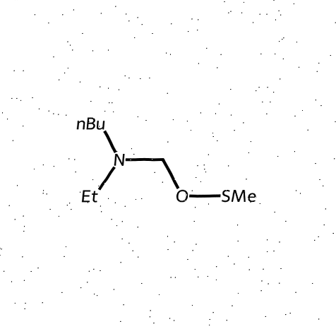 CCCCN(CC)COSC